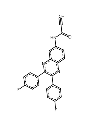 C#CC(=O)Nc1ccc2nc(-c3ccc(F)cc3)c(-c3ccc(F)cc3)nc2c1